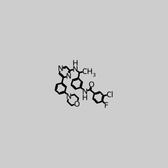 CC(Nc1cncc(-c2cccc(N3CCOCC3)c2)n1)c1cccc(NC(=O)c2ccc(F)c(Cl)c2)c1